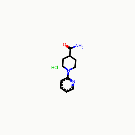 Cl.NC(=O)C1CCN(c2ccccn2)CC1